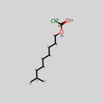 CC(C)CCCCCCCOC(=O)Cl